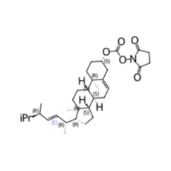 CC(C)[C@@H](C)/C=C/[C@@H](C)[C@H]1CC[C@H]2[C@@H]3CC=C4C[C@@H](OC(=O)ON5C(=O)CCC5=O)CC[C@]4(C)[C@H]3CC[C@]12C